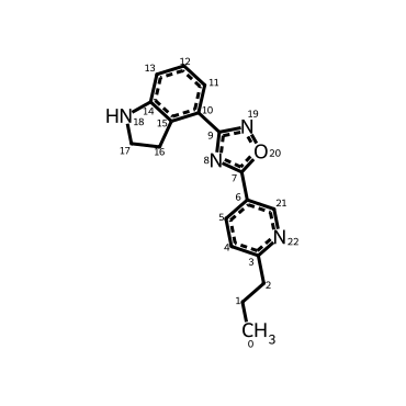 CCCc1ccc(-c2nc(-c3cccc4c3CCN4)no2)cn1